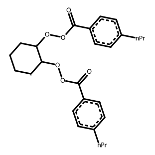 CCCc1ccc(C(=O)OO[C]2CCC[CH]C2OOC(=O)c2ccc(CCC)cc2)cc1